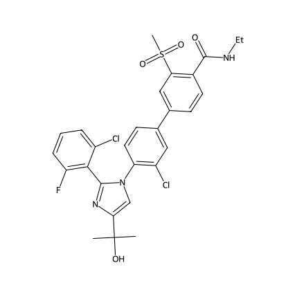 CCNC(=O)c1ccc(-c2ccc(-n3cc(C(C)(C)O)nc3-c3c(F)cccc3Cl)c(Cl)c2)cc1S(C)(=O)=O